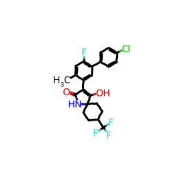 Cc1cc(F)c(-c2ccc(Cl)cc2)cc1C1=C(O)C2(CCC(C(F)(F)F)CC2)NC1=O